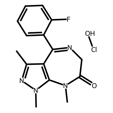 Cc1nn(C)c2c1C(c1ccccc1F)=NCC(=O)N2C.OCl